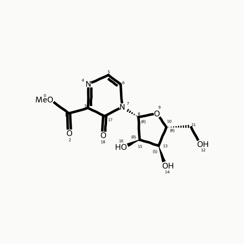 COC(=O)c1nccn([C@@H]2O[C@H](CO)[C@@H](O)[C@H]2O)c1=O